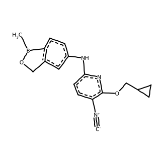 [C-]#[N+]c1ccc(Nc2ccc3c(c2)COB3C)nc1OCC1CC1